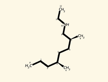 CCC[C@H](C)CC[C@H](C)CNCC